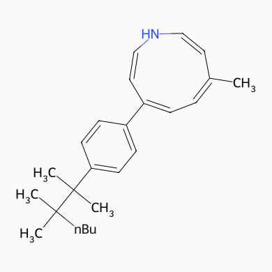 CCCCC(C)(C)C(C)(C)c1ccc(-c2cc[nH]ccc(C)cc2)cc1